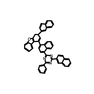 C1=C(c2ccc(-c3nc(-c4ccccc4)nc(-c4ccc5ccccc5c4)n3)c3ccccc23)c2c(oc3ccccc23)CC1c1ccc2ccccc2c1